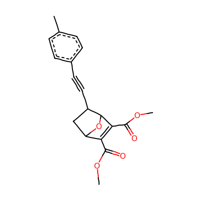 COC(=O)C1=C(C(=O)OC)C2OC1CC2C#Cc1ccc(C)cc1